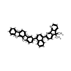 CC1(C)c2cccnc2-c2nc(-c3ccc(-c4ccc5oc6c(ccc7c8ccccc8oc76)c5c4)c4ccccc34)ccc21